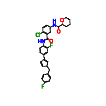 O=C(Nc1ccc(C2=CC(Cc3ccc(F)cc3)C=C2)cc1F)c1cc(NC(=O)C2CCCCO2)ccc1Cl